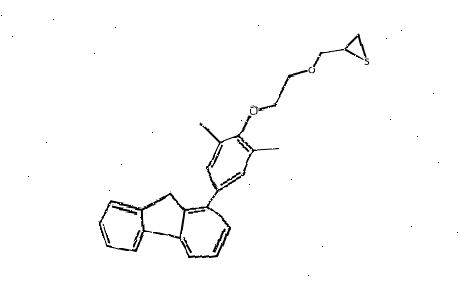 Cc1cc(-c2cccc3c2Cc2ccccc2-3)cc(C)c1OCCOCC1CS1